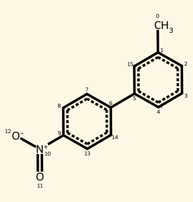 Cc1cc[c]c(-c2ccc([N+](=O)[O-])cc2)c1